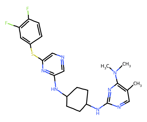 Cc1cnc(NC2CCC(Nc3cncc(Sc4ccc(F)c(F)c4)n3)CC2)nc1N(C)C